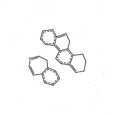 C1=Cc2ccccc2CC=N1.C1=c2ccc3c(c2CCC1)CC=c1ccccc1=3